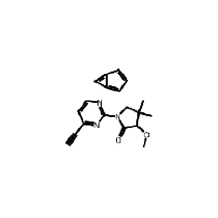 C#Cc1ccnc(N2CC(C)(C)C(OC)C2=O)n1.c1cc2cc-2c1